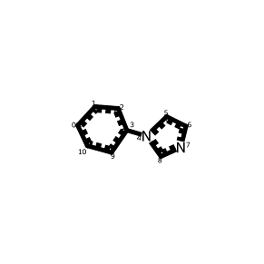 [c]1ccc(-n2ccnc2)cc1